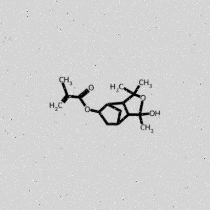 C=C(C)C(=O)OC1CC2CC1C1C2C(C)(O)OC1(C)C